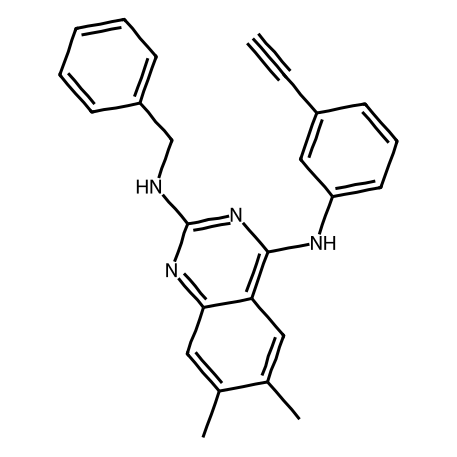 C#Cc1cccc(Nc2nc(NCc3ccccc3)nc3cc(C)c(C)cc23)c1